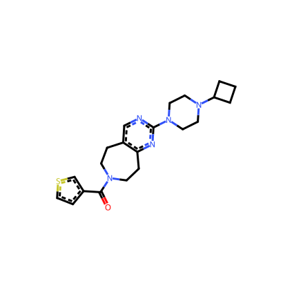 O=C(c1ccsc1)N1CCc2cnc(N3CCN(C4CCC4)CC3)nc2CC1